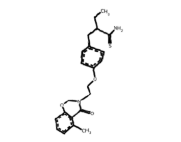 CCC(Cc1ccc(OCCN2COc3cccc(C)c3C2=O)cc1)C(N)=S